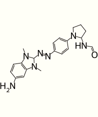 CN1c2ccc(N)cc2N(C)C1N=Nc1ccc(N2CCCC2NC=O)cc1